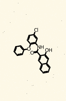 O=C(Nc1cc(Cl)ccc1Oc1ccccc1)c1cc2ccccc2cc1O